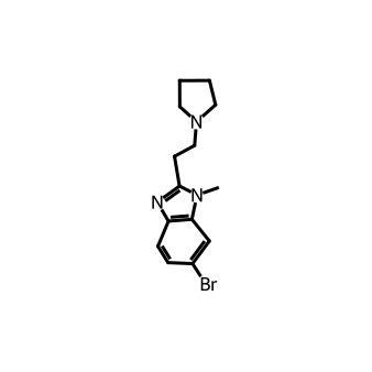 Cn1c(CCN2CCCC2)nc2ccc(Br)cc21